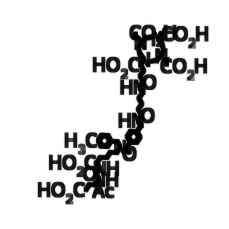 CC(=O)[C@@H](CCC(=O)O)NC(=O)N[C@H](CCCCN(Cc1ccc(C)cc1)C(=O)c1ccc(CNC(=O)CCCCNC(=O)CCC(C(=O)O)N2CCN(CC(=O)O)CCN(CC(=O)O)CCN(CC(=O)O)CC2)cc1)C(=O)O